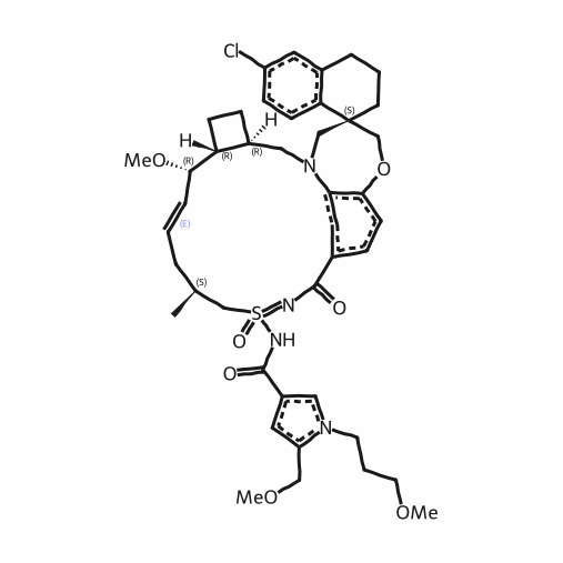 COCCCn1cc(C(=O)NS2(=O)=NC(=O)c3ccc4c(c3)N(C[C@@H]3CC[C@H]3[C@@H](OC)/C=C/C[C@H](C)C2)C[C@@]2(CCCc3cc(Cl)ccc32)CO4)cc1COC